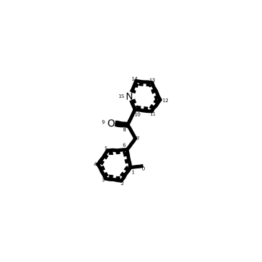 Cc1ccccc1CC(=O)c1ccccn1